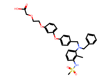 Cc1c(NS(C)(=O)=O)cccc1N(Cc1ccccc1)Cc1ccc(Oc2cccc(OCCOCC(=O)O)c2)cc1